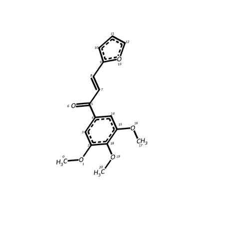 COc1cc(C(=O)/C=C/c2ccco2)cc(OC)c1OC